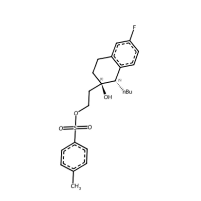 CCCC[C@H]1c2ccc(F)cc2CC[C@@]1(O)CCOS(=O)(=O)c1ccc(C)cc1